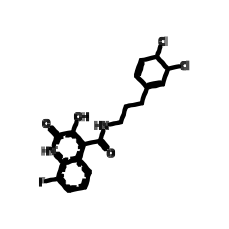 O=C(NCCCC1=CC(Cl)C(Cl)C=C1)c1c(O)c(=O)[nH]c2c(F)cccc12